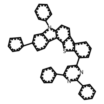 c1ccc(-c2ccc3c4c5sc6c(-c7cc(-c8ccccc8)nc(-c8ccccc8)n7)cccc6c5ccc4n(-c4ccccc4)c3c2)cc1